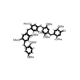 CCc1cc(OC)c(Cc2cc(OC)c(Cc3cc(OC)c(Cc4cc(OC)c(Cc5cc(OC)ccc5OC)cc4OC)cc3OC)cc2OC)cc1OC